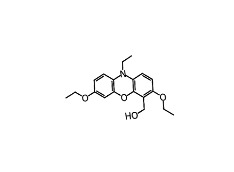 CCOc1ccc2c(c1)Oc1c(ccc(OCC)c1CO)N2CC